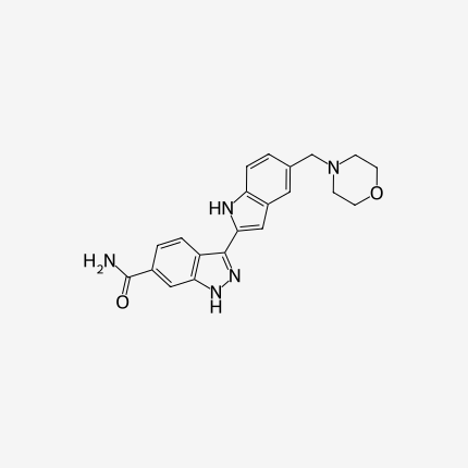 NC(=O)c1ccc2c(-c3cc4cc(CN5CCOCC5)ccc4[nH]3)n[nH]c2c1